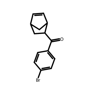 O=C(c1ccc(Br)cc1)C1CC2C=CC1C2